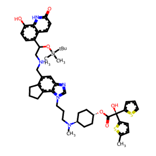 Cc1ccc([C@](O)(C(=O)O[C@H]2CC[C@H](N(C)CCCn3cnc4cc(CNCC(O[Si](C)(C)C(C)(C)C)c5ccc(O)c6[nH]c(=O)ccc56)c5c(c43)CCC5)CC2)c2cccs2)s1